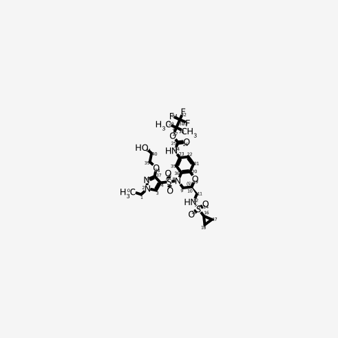 CCn1cc(S(=O)(=O)N2C[C@H](CNS(=O)(=O)C3CC3)Oc3ccc(NC(=O)OC(C)(C)C(F)(F)F)cc32)c(OCCO)n1